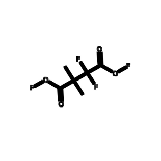 CC(C)(C(=O)OF)C(F)(F)C(=O)OF